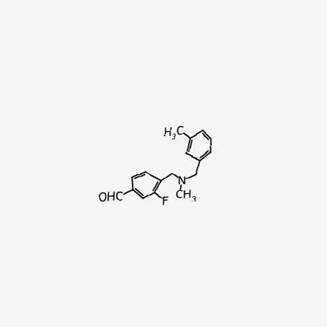 Cc1cccc(CN(C)Cc2ccc(C=O)cc2F)c1